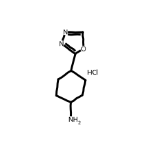 Cl.NC1CCC(c2nnco2)CC1